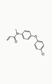 C=CC(=O)N(C)c1ccc(Oc2ccc(Cl)cc2)cc1